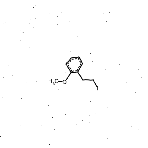 COc1ccccc1CCI